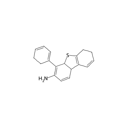 NC1=C(C2=CC=CCC2)C2SC3=C(C=CCC3)C2C=C1